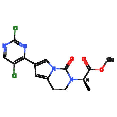 C[C@H](C(=O)OC(C)(C)C)N1CCc2cc(-c3nc(Cl)ncc3Cl)cn2C1=O